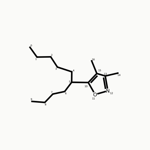 CCCCCC(CCCC)c1onc(C)c1C